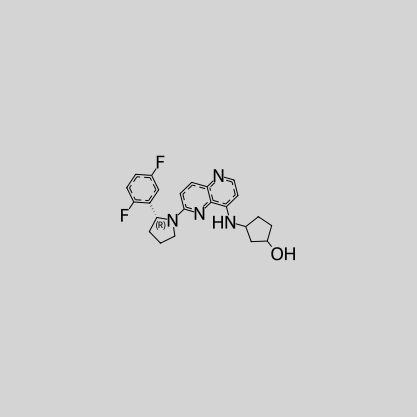 OC1CCC(Nc2ccnc3ccc(N4CCC[C@@H]4c4cc(F)ccc4F)nc23)C1